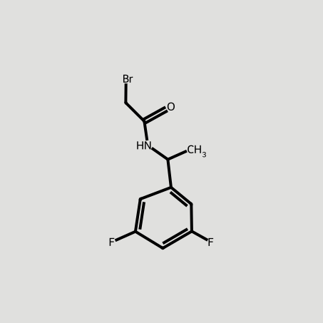 CC(NC(=O)CBr)c1cc(F)cc(F)c1